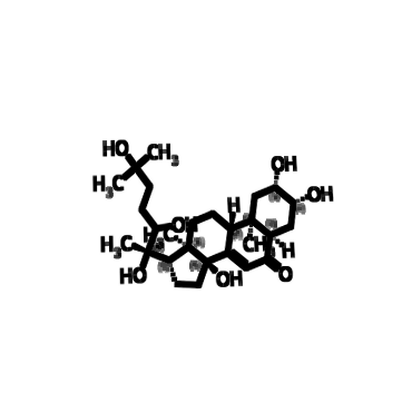 CC(C)(O)CCC(O)[C@@](C)(O)[C@H]1CC[C@@]2(O)C3=CC(=O)[C@@H]4C[C@@H](O)[C@@H](O)C[C@]4(C)[C@H]3CC[C@]12C